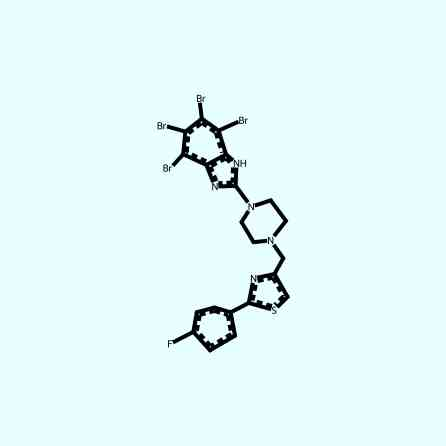 Fc1ccc(-c2nc(CN3CCN(c4nc5c(Br)c(Br)c(Br)c(Br)c5[nH]4)CC3)cs2)cc1